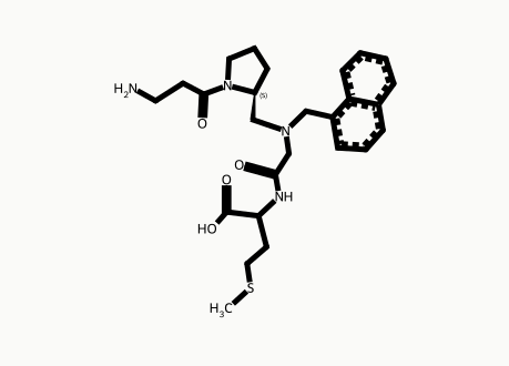 CSCCC(NC(=O)CN(Cc1cccc2ccccc12)C[C@@H]1CCCN1C(=O)CCN)C(=O)O